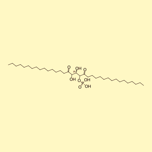 CCCCCCCCCCCCCCCC(=O)C(O)[C@@H](O)C(OP(=O)(O)O)C(=O)CCCCCCCCCCCCCCC